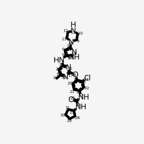 Cc1cc(Nc2cc(N3CCNCC3)n[nH]2)nc(Oc2ccc(NC(=O)NC3CCCC3)cc2Cl)n1